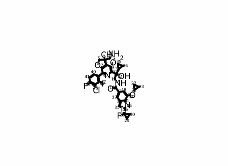 C[C@]1(C(N)=O)COc2c1cc(C(O)(CNC(=O)c1cc(OC3CC3)c3nn(C4(F)CC4)cc3c1)C1CC1)nc2-c1ccc(F)c(Cl)c1F